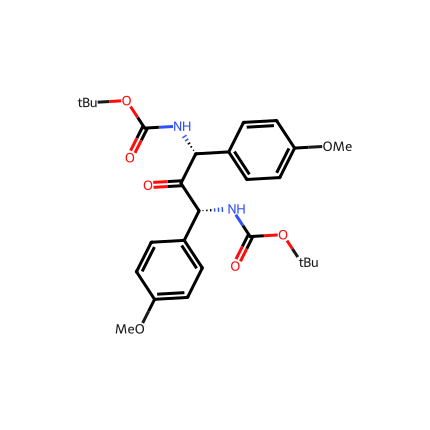 COc1ccc([C@@H](NC(=O)OC(C)(C)C)C(=O)[C@H](NC(=O)OC(C)(C)C)c2ccc(OC)cc2)cc1